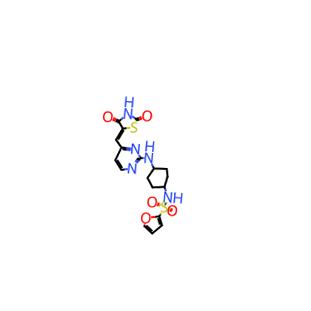 O=C1NC(=O)C(=Cc2ccnc(NC3CCC(NS(=O)(=O)c4ccco4)CC3)n2)S1